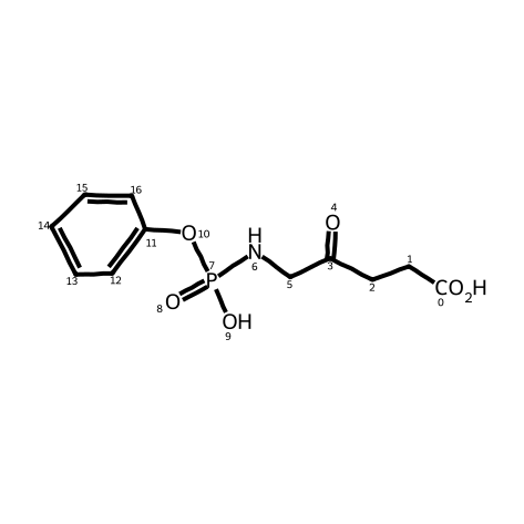 O=C(O)CCC(=O)CNP(=O)(O)Oc1ccccc1